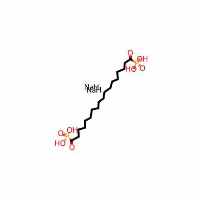 O=C(CCCCCCCCCCCCCCCCC(=O)P(=O)(O)O)P(=O)(O)O.[NaH].[NaH]